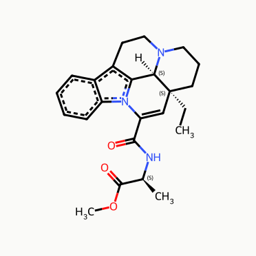 CC[C@@]12C=C(C(=O)N[C@@H](C)C(=O)OC)n3c4c(c5ccccc53)CCN(CCC1)[C@H]42